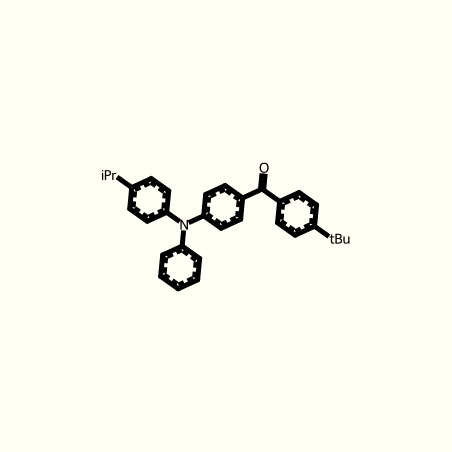 CC(C)c1ccc(N(c2ccccc2)c2ccc(C(=O)c3ccc(C(C)(C)C)cc3)cc2)cc1